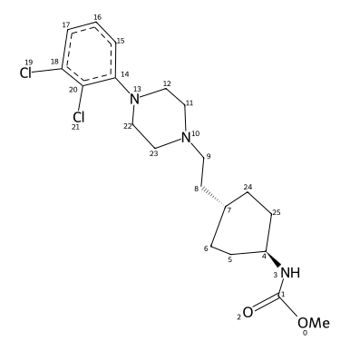 COC(=O)N[C@H]1CC[C@H](CCN2CCN(c3cccc(Cl)c3Cl)CC2)CC1